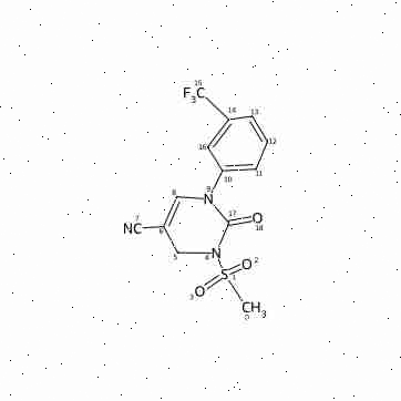 CS(=O)(=O)N1CC(C#N)=CN(c2cccc(C(F)(F)F)c2)C1=O